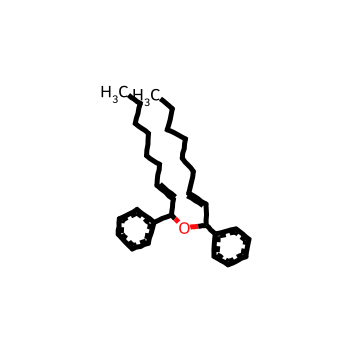 CCCCCCC=CC(OC(C=CCCCCCC)c1ccccc1)c1ccccc1